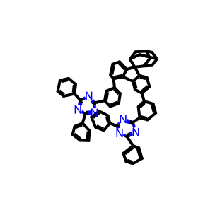 c1ccc(-c2nc(-c3ccccc3)nc(-c3cccc(-c4ccc5c(c4)-c4c(-c6cccc(-c7nc(-c8ccccc8)nc(-c8ccccc8)n7)c6)cccc4C54C5CC6CC(C5)CC4C6)c3)n2)cc1